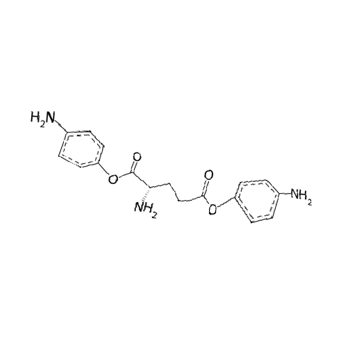 Nc1ccc(OC(=O)CC[C@H](N)C(=O)Oc2ccc(N)cc2)cc1